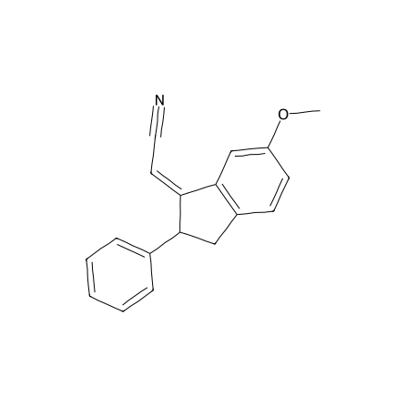 COc1ccc2c(c1)C(=CC#N)C(c1ccccc1)C2